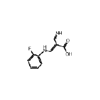 N=C/C(=C\Nc1ccccc1F)C(=O)O